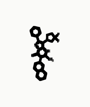 Cc1[nH]c2c(N3CCC(F)(F)C3)c(-c3ccccc3)nn2c(=O)c1-c1ccc2ccccc2c1